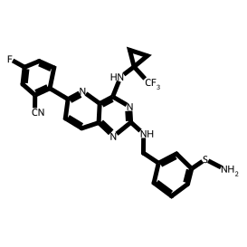 N#Cc1cc(F)ccc1-c1ccc2nc(NCc3cccc(SN)c3)nc(NC3(C(F)(F)F)CC3)c2n1